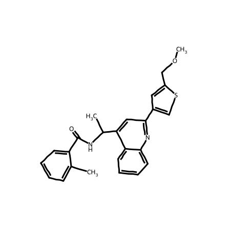 COCc1cc(-c2cc(C(C)NC(=O)c3ccccc3C)c3ccccc3n2)cs1